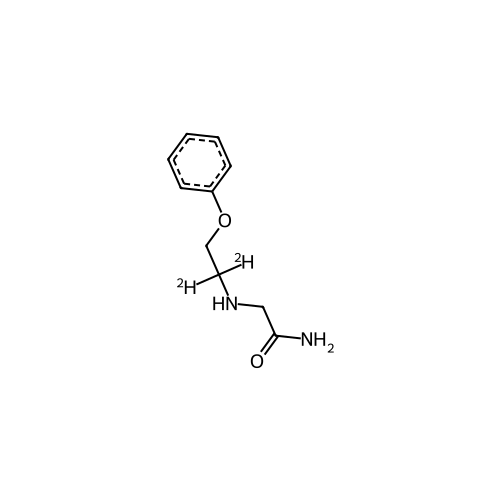 [2H]C([2H])(COc1ccccc1)NCC(N)=O